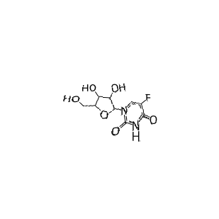 O=c1[nH]c(=O)n(C2OC(CO)C(O)C2O)cc1F